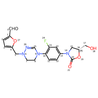 O=Cc1ccc(CN2CCN(c3ccc(N4C[C@H](CO)OC4=O)cc3F)C=N2)o1